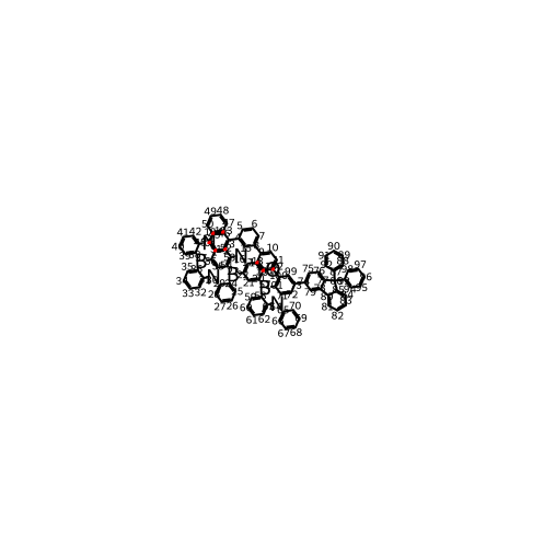 c1ccc(-c2cccc(-c3ccccc3)c2N2c3cc4c(cc3B3c5ccccc5N5c6ccccc6B6c7ccccc7N(c7ccccc7)c7cc2c3c5c76)B2c3ccccc3N(c3ccccc3)c3cc(-c5ccc6c(c5)-c5ccccc5C6(c5ccccc5)c5ccccc5)cc(c32)O4)cc1